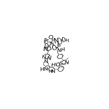 Cc1ncsc1-c1ccc(CNC(=O)[C@@H]2C[C@@H](O)CN2C(=O)[C@](C)(c2cc(-c3cnc(N4CCc5[nH]c6nnc(-c7ccccc7O)cc6c5C4)nc3)no2)C(C)C)cc1